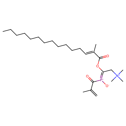 C=C(C)C(=O)/[P+]([O-])=C(/C[N+](C)(C)C)OC(=O)C(C)=CCCCCCCCCCCCC